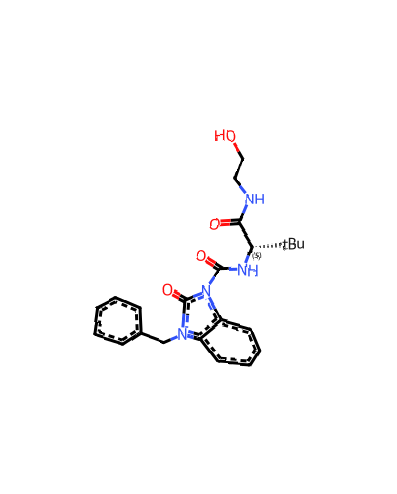 CC(C)(C)[C@H](NC(=O)n1c(=O)n(Cc2ccccc2)c2ccccc21)C(=O)NCCO